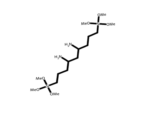 CO[Si](CCCC(N)CC(N)CCC[Si](OC)(OC)OC)(OC)OC